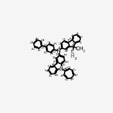 CC1(C)c2ccccc2-c2ccc(N(c3ccc(-c4ccccc4)cc3)c3ccc4c(c3)c3ccccc3n4C3=CC=CCC=C3)cc21